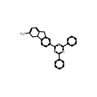 CC1=CC=C2Cc3cc(-c4nc(-c5ccccc5)nc(-c5ccccc5)n4)ccc3C2C1